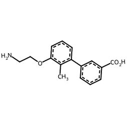 Cc1c(OCCN)cccc1-c1cccc(C(=O)O)c1